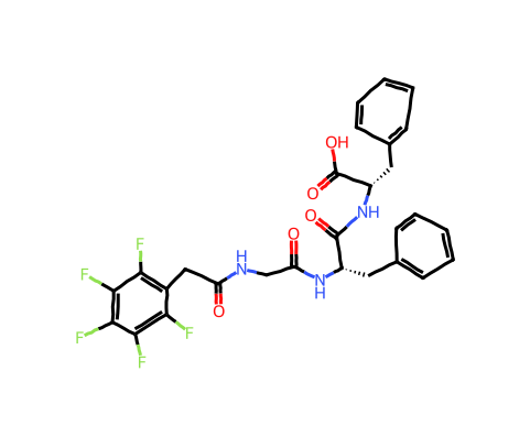 O=C(Cc1c(F)c(F)c(F)c(F)c1F)NCC(=O)N[C@@H](Cc1ccccc1)C(=O)N[C@@H](Cc1ccccc1)C(=O)O